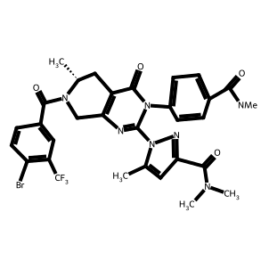 CNC(=O)c1ccc(-n2c(-n3nc(C(=O)N(C)C)cc3C)nc3c(c2=O)C[C@@H](C)N(C(=O)c2ccc(Br)c(C(F)(F)F)c2)C3)cc1